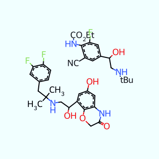 CC(C)(Cc1ccc(F)c(F)c1)NCC(O)c1cc(O)cc2c1OCC(=O)N2.CCOC(=O)Nc1c(F)cc(C(O)CNC(C)(C)C)cc1C#N